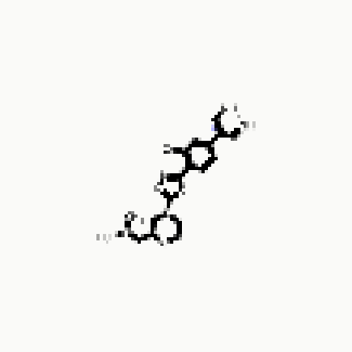 CN(C)CC1CN(c2nnc(-c3ccc(/C(C=N)=C/N)cc3Cl)s2)CCO1